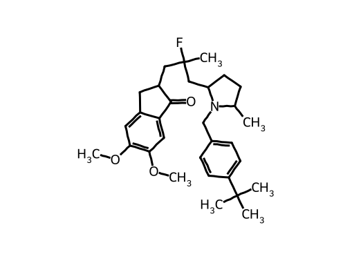 COc1cc2c(cc1OC)C(=O)C(CC(C)(F)CC1CCC(C)N1Cc1ccc(C(C)(C)C)cc1)C2